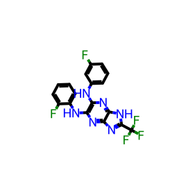 Fc1cccc(Nc2nc3[nH]c(C(F)(F)F)nc3nc2Nc2ccccc2F)c1